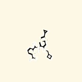 O=C(Nc1cn2cc(C3CC3)nc2cc1OCC1CCC1)c1cccc(C(F)F)n1